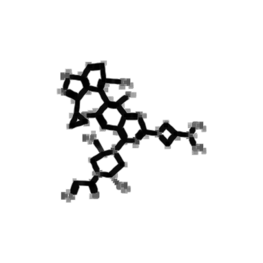 C=CC(=O)N1C[C@@H](C)N(c2nc(N3CC(N(C)C)C3)nc3c(F)c(-c4c(C)ccc5[nH]nc(C6CC6)c45)c(Cl)cc23)C[C@@H]1C